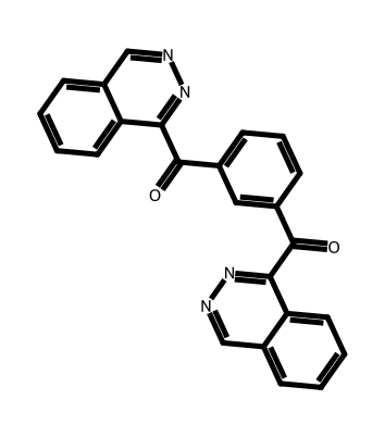 O=C(c1cccc(C(=O)c2nncc3ccccc23)c1)c1nncc2ccccc12